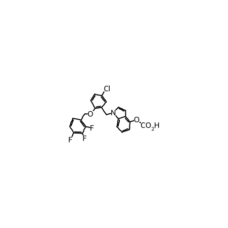 O=C(O)Oc1cccc2c1ccn2Cc1cc(Cl)ccc1OCc1ccc(F)c(F)c1F